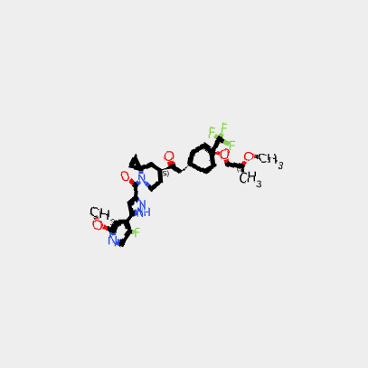 COc1cc(-c2cc(C(=O)N3CC[C@H](C(=O)C[C@H]4CC[C@@](OC[C@H](C)OC)(C(F)(F)F)CC4)CC34CC4)n[nH]2)c(F)cn1